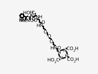 CNC(=O)[C@H](Cc1c[nH]c2ccccc12)NC(=O)[C@@H](CC(=O)O)NC(=O)CCC(=O)NCCCOCCOCCOCCCNC(=O)CN1CCN(CC(=O)O)CCN(CC(=O)O)CCN(CC(=O)O)CC1